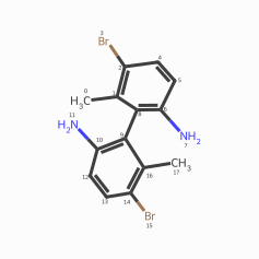 Cc1c(Br)ccc(N)c1-c1c(N)ccc(Br)c1C